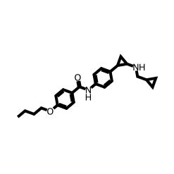 CCCCOc1ccc(C(=O)Nc2ccc(C3CC3NCC3CC3)cc2)cc1